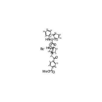 COC(=O)c1ccc(C(=O)C[N+]23CCC(CC2)[C@@H](OC(=O)C(Nc2ccccc2)c2ccccc2)C3)cc1.[Br-]